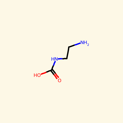 NCCNC(=O)O